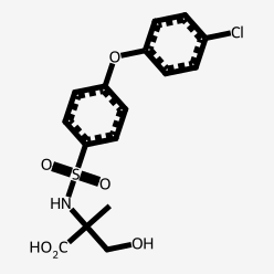 CC(CO)(NS(=O)(=O)c1ccc(Oc2ccc(Cl)cc2)cc1)C(=O)O